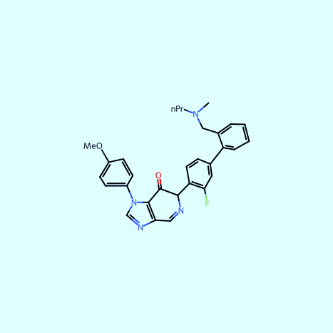 CCCN(C)Cc1ccccc1-c1ccc(C2N=Cc3ncn(-c4ccc(OC)cc4)c3C2=O)c(F)c1